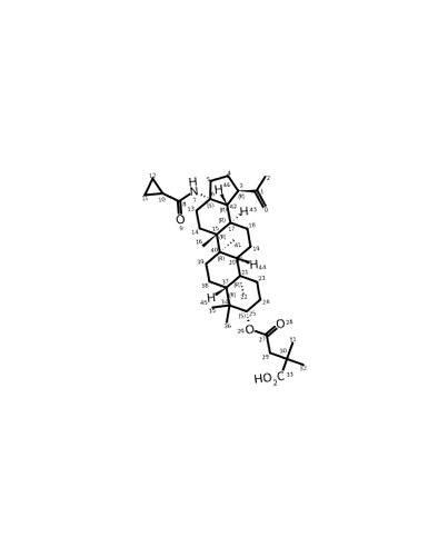 C=C(C)[C@@H]1CC[C@]2(NC(=O)C3CC3)CC[C@]3(C)[C@H](CC[C@@H]4[C@@]5(C)CC[C@H](OC(=O)CC(C)(C)C(=O)O)C(C)(C)[C@@H]5CC[C@]43C)[C@@H]12